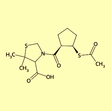 CC(=O)S[C@@H]1CCC[C@@H]1C(=O)N1CSC(C)(C)C1C(=O)O